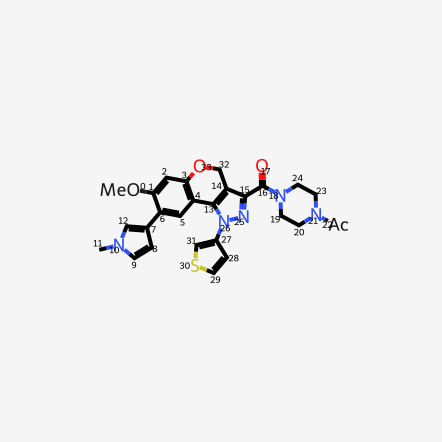 COc1cc2c(cc1-c1ccn(C)c1)-c1c(c(C(=O)N3CCN(C(C)=O)CC3)nn1-c1ccsc1)CO2